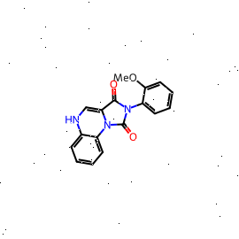 COc1ccccc1-n1c(=O)c2c[nH]c3ccccc3n-2c1=O